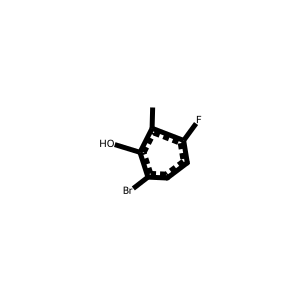 Cc1c(F)ccc(Br)c1O